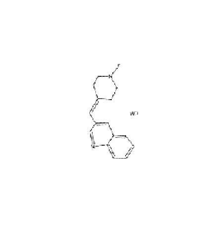 Cl.FN1CCC(=Cc2cnc3ccccc3c2)CC1